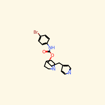 O=C(Nc1ccc(Br)cc1)OC1C2CCN(CC2)C1Cc1ccncc1